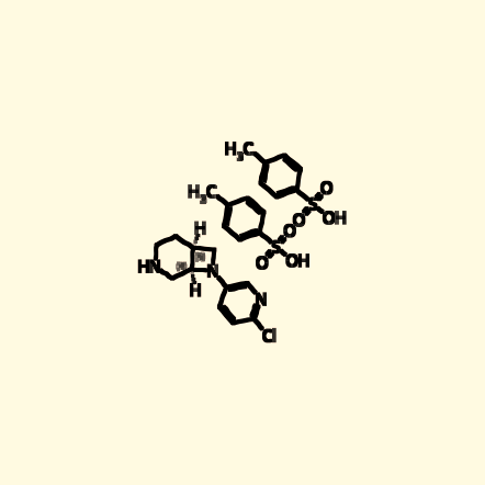 Cc1ccc(S(=O)(=O)O)cc1.Cc1ccc(S(=O)(=O)O)cc1.Clc1ccc(N2C[C@@H]3CCNC[C@@H]32)cn1